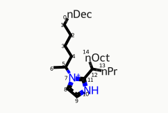 CCCCCCCCCCCCCCC(C)[n+]1cc[nH]c1C(CCC)CCCCCCCC